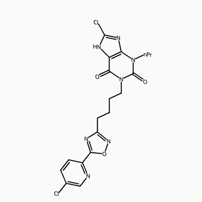 CCCn1c(=O)n(CCCCc2noc(-c3ccc(Cl)cn3)n2)c(=O)c2[nH]c(Cl)nc21